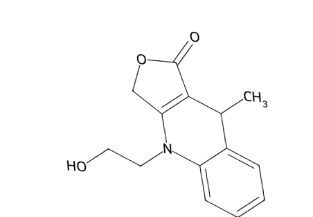 CC1C2=C(COC2=O)N(CCO)c2ccccc21